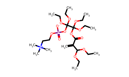 C=C(C(=O)OC(OCC)(OCC)C(OCC)(OCC)OP(=O)([O-])OCC[N+](C)(C)C)C(OCC)OCC